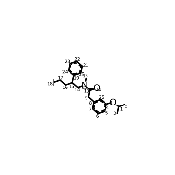 CC(C)Oc1cccc(CC(=O)N(C)CC(CCI)c2ccccc2)c1